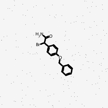 NC(=O)C(Br)c1ccc(OCc2ccccc2)cc1